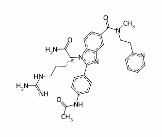 CC(=O)Nc1ccc(-c2nc3cc(C(=O)N(C)CCc4ccccn4)ccc3n2[C@H](CCCNC(=N)N)C(N)=O)cc1